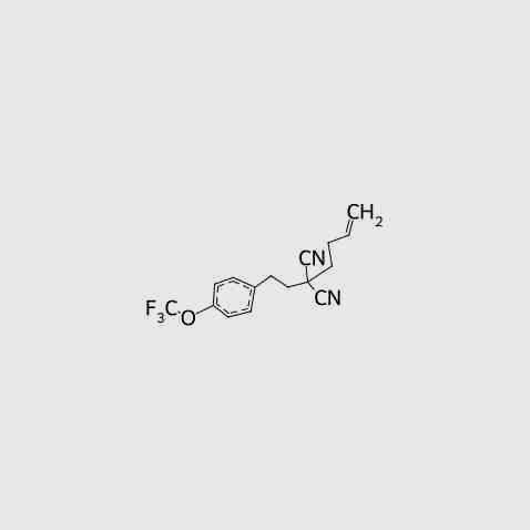 C=CCCC(C#N)(C#N)CCc1ccc(OC(F)(F)F)cc1